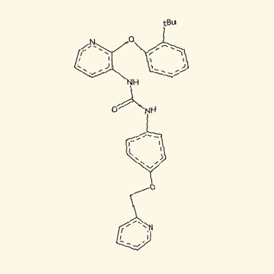 CC(C)(C)c1ccccc1Oc1ncccc1NC(=O)Nc1ccc(OCc2ccccn2)cc1